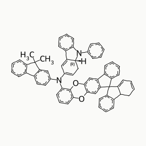 CC1(C)c2ccccc2-c2ccc(N(C3=CC[C@@H]4C(=C3)c3ccccc3N4c3ccccc3)c3cccc4c3Oc3cc5c(cc3O4)C3(C4=CC=CCC4c4ccccc43)c3ccccc3-5)cc21